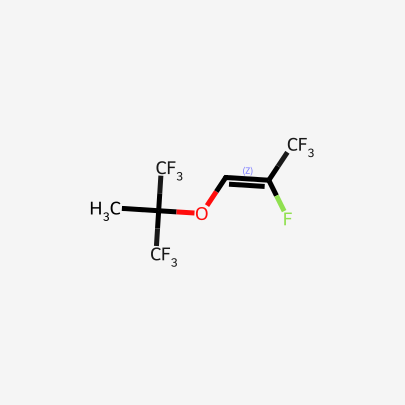 CC(O/C=C(\F)C(F)(F)F)(C(F)(F)F)C(F)(F)F